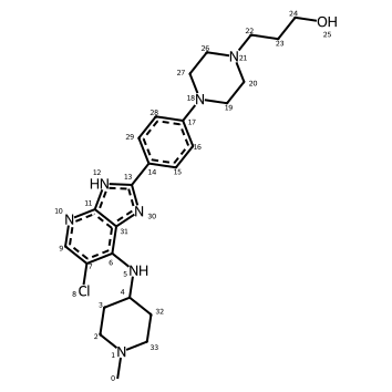 CN1CCC(Nc2c(Cl)cnc3[nH]c(-c4ccc(N5CCN(CCCO)CC5)cc4)nc23)CC1